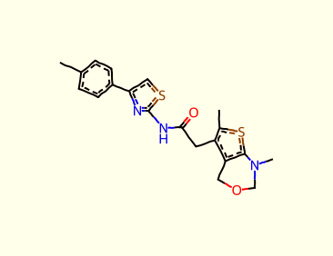 Cc1ccc(-c2csc(NC(=O)Cc3c(C)sc4c3COCN4C)n2)cc1